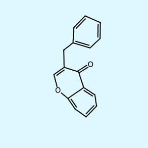 O=c1c(Cc2ccccc2)coc2ccccc12